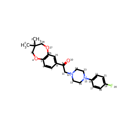 CC1(C)COc2ccc(C(=O)CN3CCN(c4ccc(F)cc4)CC3)cc2OC1